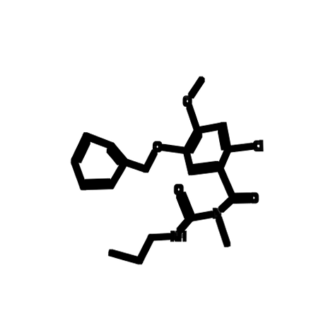 CCCNC(=O)N(C)C(=O)c1cc(OCc2ccccc2)c(OC)cc1Cl